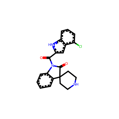 O=C(c1cc2c(Cl)cccc2[nH]1)N1C(=O)C2(CCNCC2)c2ccccc21